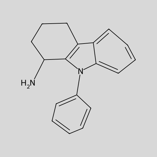 NC1CCCc2c1n(-c1ccccc1)c1ccccc21